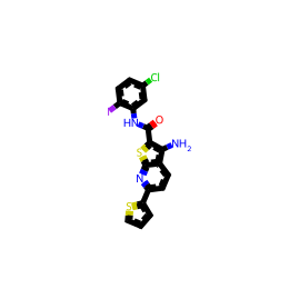 Nc1c(C(=O)Nc2cc(Cl)ccc2I)sc2nc(-c3cccs3)ccc12